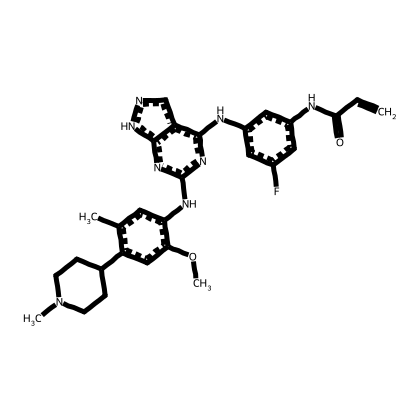 C=CC(=O)Nc1cc(F)cc(Nc2nc(Nc3cc(C)c(C4CCN(C)CC4)cc3OC)nc3[nH]ncc23)c1